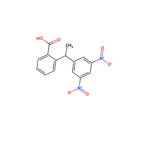 CC(c1cc([N+](=O)[O-])cc([N+](=O)[O-])c1)c1ccccc1C(=O)O